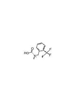 C[C@H](Cc1ccccc1C(F)(F)F)C(=O)O